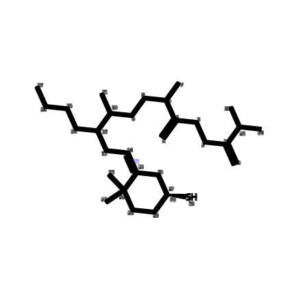 C=C(CCC(=C)C(C)CCC(C)C(C/C=C1/C[C@@H](S)CCC1(C)C)CCCC)C(C)C